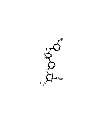 CSc1nc(N)cc(Oc2cccc(-c3nnc(Nc4cccc(CF)c4)s3)c2)n1